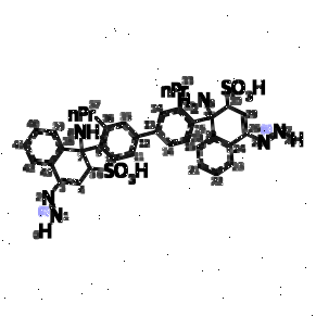 [H]/N=N/C1=CC(S(=O)(=O)O)C(N)(c2ccc(-c3ccc(C4(N)c5ccccc5C(/N=N/[H])=CC4S(=O)(=O)O)c(CCC)c3)cc2CCC)c2ccccc21